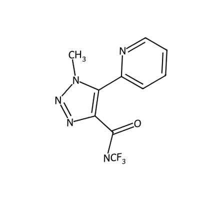 Cn1nnc(C(=O)NC(F)(F)F)c1-c1ccccn1